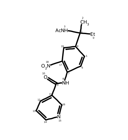 CCC(C)(NC(C)=O)c1ccc(NC(=O)c2cccnc2)c([N+](=O)[O-])c1